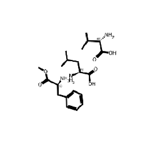 CC(C)C[C@H](N)C(=O)O.CC(C)[C@H](N)C(=O)O.COC(=O)[C@@H](N)Cc1ccccc1